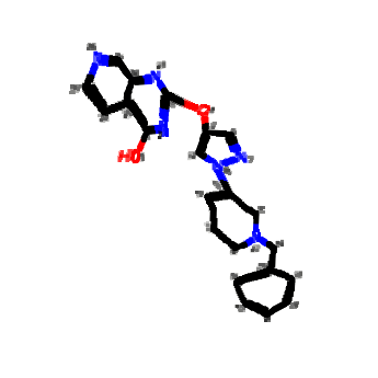 Oc1nc(Oc2cnn(C3CCCN(Cc4ccccc4)C3)c2)nc2cnccc12